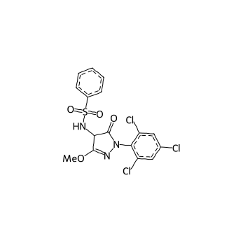 COC1=NN(c2c(Cl)cc(Cl)cc2Cl)C(=O)C1NS(=O)(=O)c1ccccc1